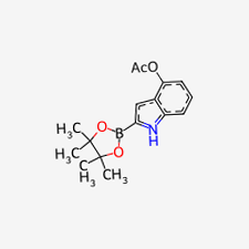 CC(=O)Oc1cccc2[nH]c(B3OC(C)(C)C(C)(C)O3)cc12